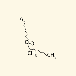 CCCCCCC=C(C)CC(=O)OCCCCCCCC1CC1